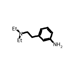 CCN(CC)CCc1cccc(N)c1